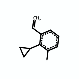 C=[C]c1cccc(F)c1C1CC1